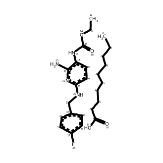 CCCCCCCCCC(=O)O.CCOC(=O)Nc1ccc(NCc2ccc(F)cc2)nc1N